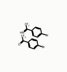 N=C(c1ccc(Br)cc1)C(F)(F)F.O=C(c1ccc(Br)cc1)C(F)(F)F